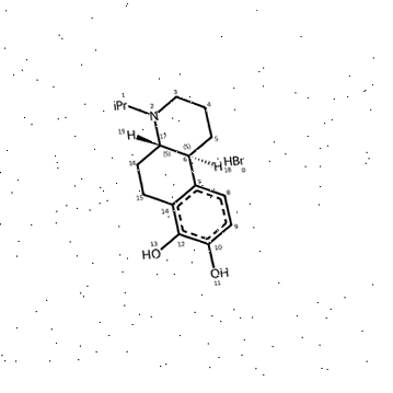 Br.CC(C)N1CCC[C@H]2c3ccc(O)c(O)c3CC[C@@H]21